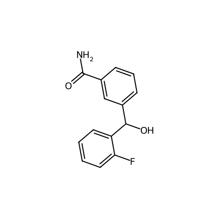 NC(=O)c1cccc(C(O)c2ccccc2F)c1